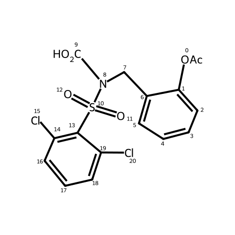 CC(=O)Oc1ccccc1CN(C(=O)O)S(=O)(=O)c1c(Cl)cccc1Cl